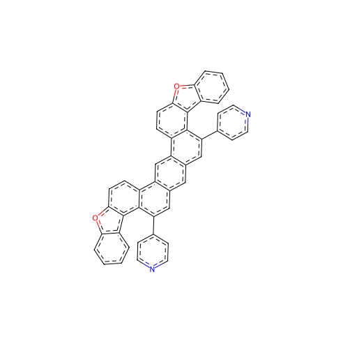 c1ccc2c(c1)oc1ccc3c4cc5c(cc(-c6ccncc6)c6c5ccc5oc7ccccc7c56)cc4cc(-c4ccncc4)c3c12